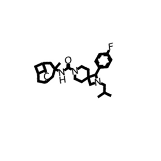 CC(C)CN1CC2(CCN(C(=O)NC3(C)CC4CC5CC(C3)C5C4)CC2)C1c1ccc(F)cc1